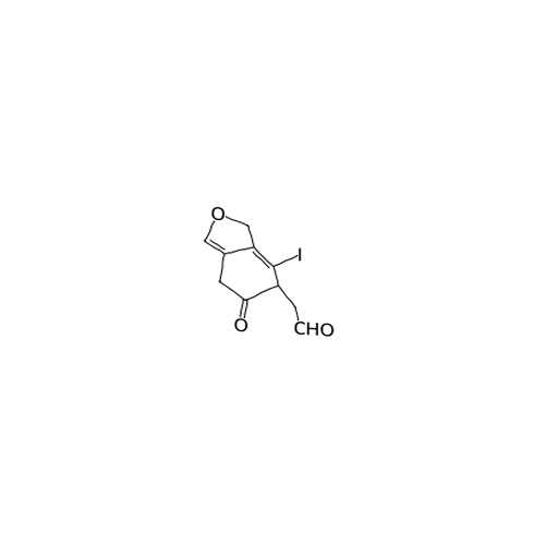 O=CCC1C(=O)CC2=COCC2=C1I